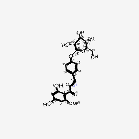 COc1cc(O)cc(O)c1C(=O)/C=C/c1ccc(O[C@@H]2O[C@H](CO)[C@@H](O)[C@H](O)[C@H]2O)cc1